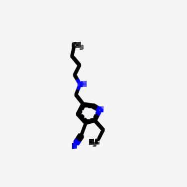 CCCCNCc1cnc(CC)c(C#N)c1